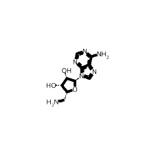 NC[C@H]1O[C@@H](n2cnc3c(N)ncnc32)[C@@H](O)[C@H]1O